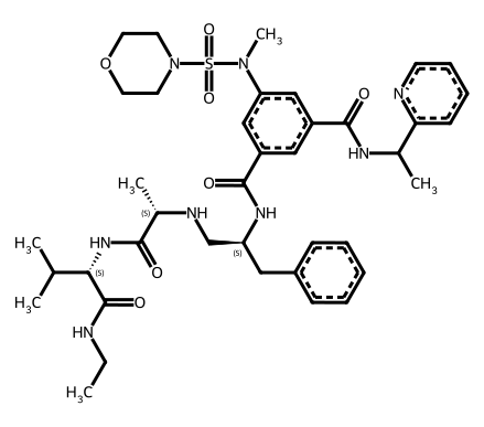 CCNC(=O)[C@@H](NC(=O)[C@H](C)NC[C@H](Cc1ccccc1)NC(=O)c1cc(C(=O)NC(C)c2ccccn2)cc(N(C)S(=O)(=O)N2CCOCC2)c1)C(C)C